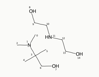 CN(C)C(C)(C)CO.OCCNCCO